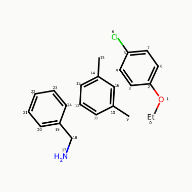 CCOc1ccc(Cl)cc1.Cc1c[c]cc(C)c1.NCc1cc[c]cc1